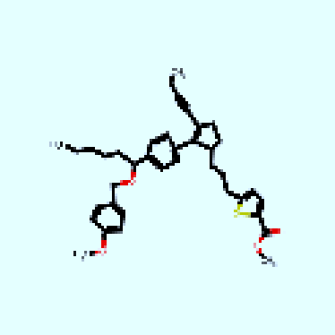 CCC#CC1=C(c2ccc(C(CCCCC)OCc3ccc(OC)cc3)cc2)C(CCCc2ccc(C(=O)OC)s2)CC1